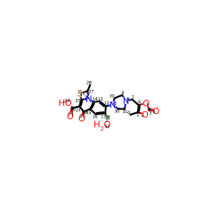 Cc1oc(=O)oc1CN1CCN(c2cc3c(cc2F)c(=O)c(C(=O)O)c2n3C(C)S2)CC1.O